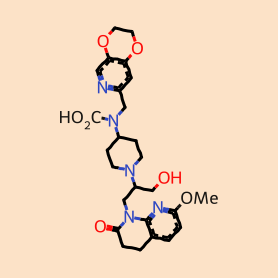 COc1ccc2c(n1)N(CC(CO)N1CCC(N(Cc3cc4c(cn3)OCCO4)C(=O)O)CC1)C(=O)CC2